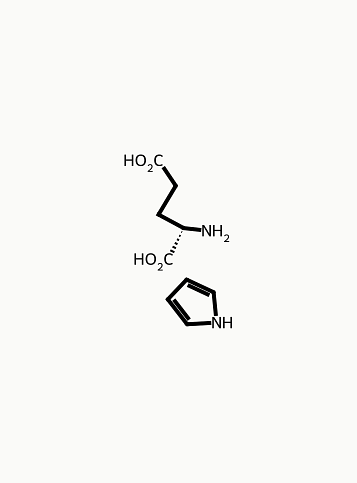 N[C@@H](CCC(=O)O)C(=O)O.c1cc[nH]c1